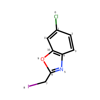 Clc1ccc2nc(CI)oc2c1